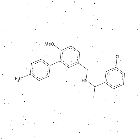 COc1ccc(CNC(C)c2cccc(Cl)c2)cc1-c1ccc(C(F)(F)F)cc1